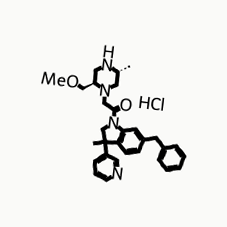 COC[C@H]1CN[C@H](C)CN1CC(=O)N1CC(C)(c2cccnc2)c2ccc(Cc3ccccc3)cc21.Cl